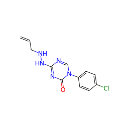 C=CCNNc1ncn(-c2ccc(Cl)cc2)c(=O)n1